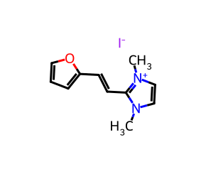 Cn1cc[n+](C)c1C=Cc1ccco1.[I-]